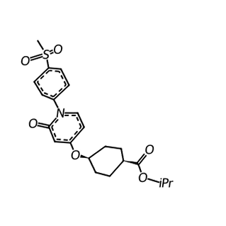 CC(C)OC(=O)[C@H]1CC[C@@H](Oc2ccn(-c3ccc(S(C)(=O)=O)cc3)c(=O)c2)CC1